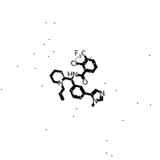 C=CCN1CCCC[C@H]1[C@@H](NC(=O)c1cccc(C(F)(F)F)c1Cl)c1cccc(-c2cncn2C)c1